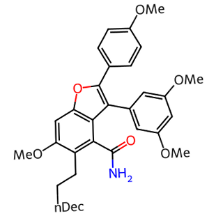 CCCCCCCCCCCCc1c(OC)cc2oc(-c3ccc(OC)cc3)c(-c3cc(OC)cc(OC)c3)c2c1C(N)=O